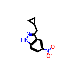 O=[N+]([O-])c1ccc2[nH]nc(CC3CC3)c2c1